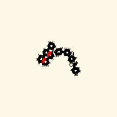 c1ccc(-c2ccc(-c3ccccc3N(c3ccc(-c4ccccc4)cc3)c3ccc(-c4ccc5oc6cc7nc(-c8ccccc8)oc7cc6c5c4)cc3)cc2)cc1